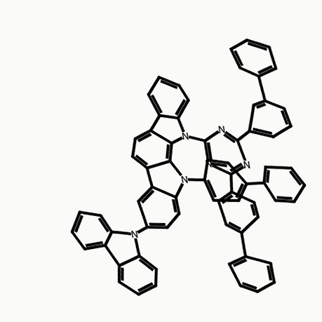 c1ccc(-c2ccc(-c3nc(-c4cccc(-c5ccccc5)c4)nc(-n4c5ccccc5c5ccc6c7cc(-n8c9ccccc9c9ccccc98)ccc7n(-c7ccc(-c8ccccc8)cc7)c6c54)n3)cc2)cc1